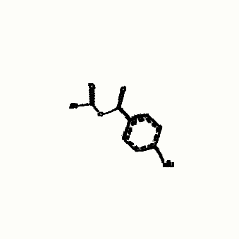 CCCCc1ccc(C(=O)OC(=O)CC)cc1